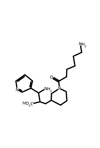 NCCCCCC(=O)N1CCCC(CC(C(=O)O)C(N)c2cccnc2)C1